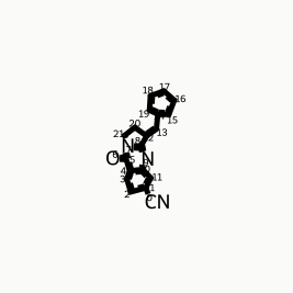 N#Cc1ccc2c(=O)n3c(nc2c1)C(=Cc1ccccc1)CC3